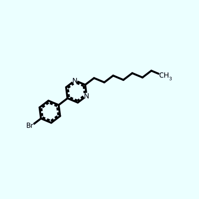 CCCCCCCCc1ncc(-c2ccc(Br)cc2)cn1